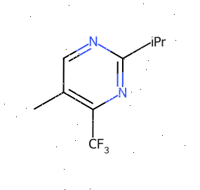 Cc1cnc(C(C)C)nc1C(F)(F)F